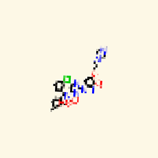 COc1cc(Nc2nccc(N(C(=O)O)C(c3cc(Cl)ccc3C)c3c(C)cc(C)cc3C)n2)ccc1OCCCN1CCN(C)CC1